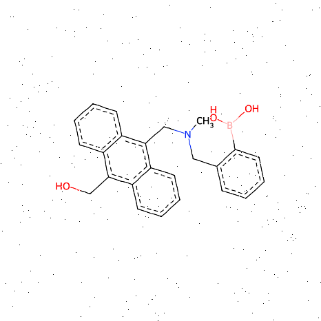 CN(Cc1ccccc1B(O)O)Cc1c2ccccc2c(CO)c2ccccc12